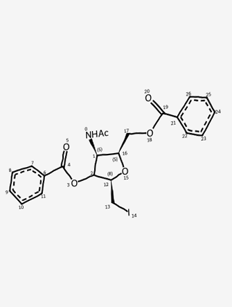 CC(=O)N[C@@H]1C(OC(=O)c2ccccc2)[C@H](CI)O[C@@H]1COC(=O)c1ccccc1